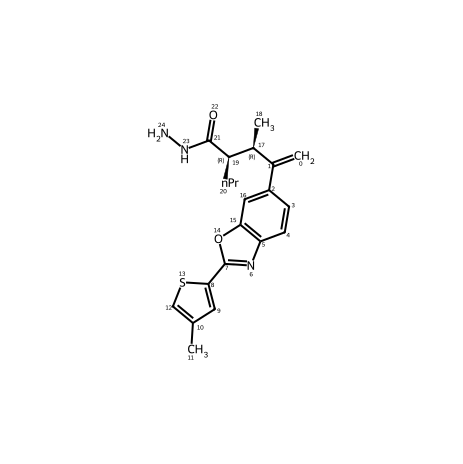 C=C(c1ccc2nc(-c3cc(C)cs3)oc2c1)[C@H](C)[C@@H](CCC)C(=O)NN